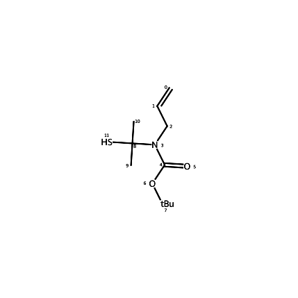 C=CCN(C(=O)OC(C)(C)C)C(C)(C)S